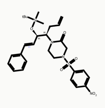 C=CC[C@H]([C@@H](/C=C/c1ccccc1)O[Si](C)(C)C(C)(C)C)N1CCN(S(=O)(=O)c2ccc([N+](=O)[O-])cc2)CC1=O